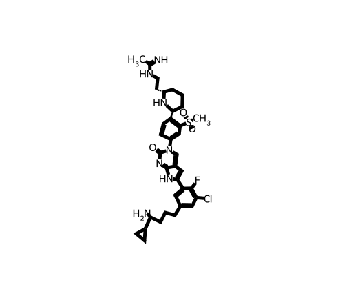 CC(=N)NCC[C@@H]1CCC[C@@H](c2ccc(-n3cc4cc(-c5cc(CCCC(N)C6CC6)cc(Cl)c5F)[nH]c4nc3=O)cc2S(C)(=O)=O)N1